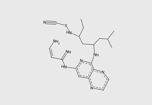 CCC(CC(CC(C)C)Nc1nc(NC(=N)/C=C\N)cc2nccnc12)NSC#N